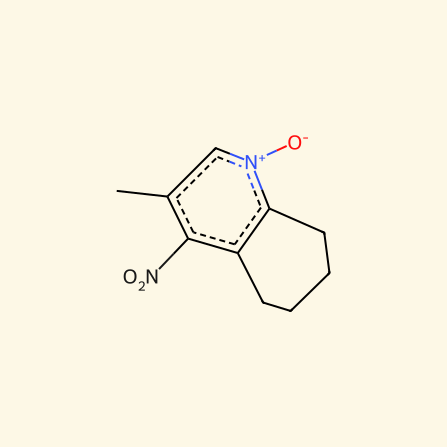 Cc1c[n+]([O-])c2c(c1[N+](=O)[O-])CCCC2